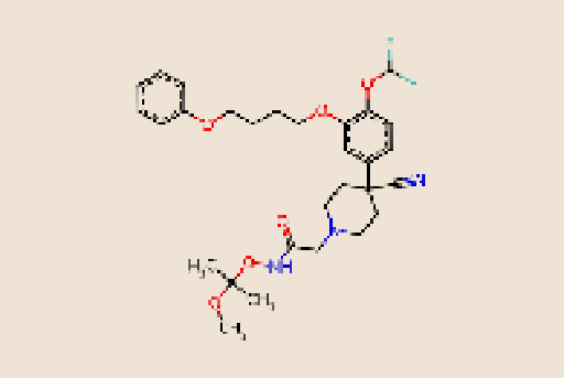 COC(C)(C)ONC(=O)CN1CCC(C#N)(c2ccc(OC(F)F)c(OCCCCOc3ccccc3)c2)CC1